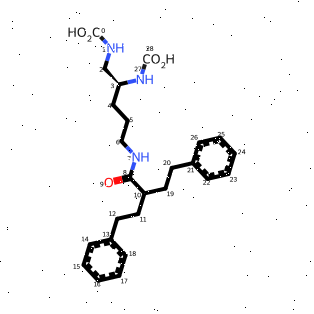 O=C(O)NC[C@H](CCCNC(=O)C(CCc1ccccc1)CCc1ccccc1)NC(=O)O